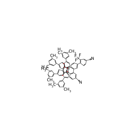 Cc1cc(C)cc(-c2ccc3c(c2)c2cc(-c4cc(C)cc(C)c4)ccc2n3-c2ccc(C#N)cc2-c2cc(-c3ccc(C#N)cc3C(F)(F)F)ccc2-n2c3ccc(-c4cc(C)cc(C)c4)cc3c3cc(-c4cc(C)cc(C)c4)ccc32)c1